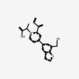 C=CC(=C)c1cc(-c2cc(CC(C)C)c3sccc3c2)cc[n+]1C(C)C(=C)O